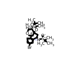 CC(C)(C)[S+]([O-])/N=C(\CC1(O[Si](C)(C)C(C)(C)C)CCOCC1)c1cc(Br)ccc1F